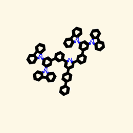 c1ccc(-c2ccc(-c3cc(-c4cccc(-c5cc(-n6c7ccccc7c7ccccc76)cc(-n6c7ccccc7c7ccccc76)c5)c4)nc(-c4cccc(-c5cc(-n6c7ccccc7c7ccccc76)cc(-n6c7ccccc7c7ccccc76)c5)c4)c3)cc2)cc1